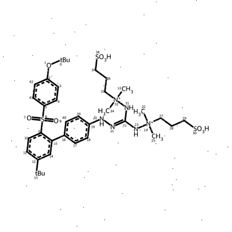 CC(C)(C)Oc1ccc(S(=O)(=O)c2ccc(C(C)(C)C)cc2-c2ccc(NN=C(N[N+](C)(C)CCCS(=O)(=O)O)N[N+](C)(C)CCCS(=O)(=O)O)cc2)cc1